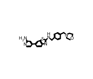 Nc1cc(-c2ccc3nc(NCc4ccc(CN5CCOCC5)cc4)sc3c2)ccn1